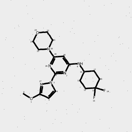 COc1ccn(-c2nc(NC3CCC(F)(F)CC3)cc(N3CCOCC3)n2)n1